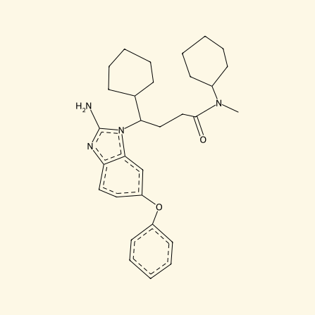 CN(C(=O)CCC(C1CCCCC1)n1c(N)nc2ccc(Oc3ccccc3)cc21)C1CCCCC1